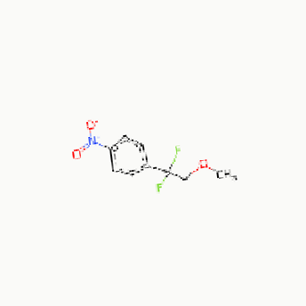 COCC(F)(F)c1ccc([N+](=O)[O-])cc1